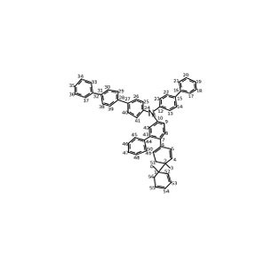 CC1(C2(C)C=CC(c3ccc(N(c4ccc(-c5ccccc5)cc4)c4ccc(-c5ccc(-c6ccccc6)cc5)cc4)cc3-c3ccccc3)=CC2)C=CC=CC1